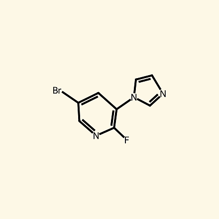 Fc1ncc(Br)cc1-n1ccnc1